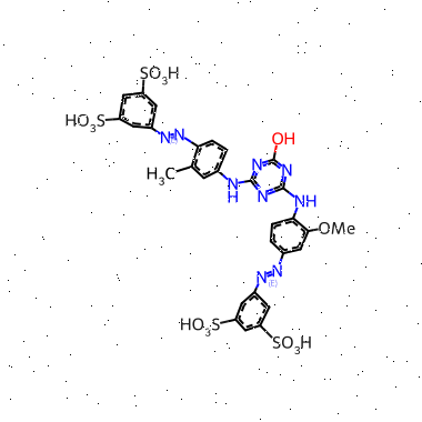 COc1cc(/N=N/c2cc(S(=O)(=O)O)cc(S(=O)(=O)O)c2)ccc1Nc1nc(O)nc(Nc2ccc(/N=N/c3cc(S(=O)(=O)O)cc(S(=O)(=O)O)c3)c(C)c2)n1